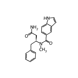 CN(C(=O)c1ccc2[nH]ccc2c1)[C@H](CC(N)=O)Cc1ccccc1